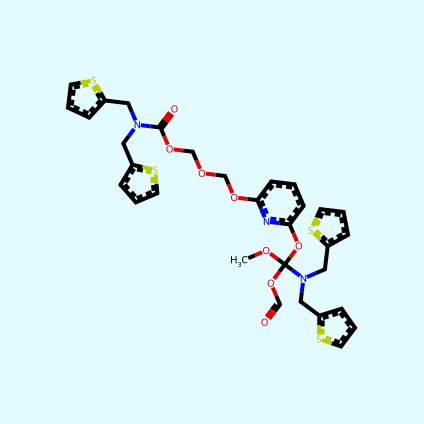 COC(OC=O)(Oc1cccc(OCOCOC(=O)N(Cc2cccs2)Cc2cccs2)n1)N(Cc1cccs1)Cc1cccs1